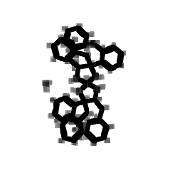 Sc1ccccc1C1(Cc2ccccc2)O[B-]2(OC1Cc1ccccc1)OC(Cc1ccccc1)C(Cc1ccccc1)(c1ccccc1S)O2.[H+]